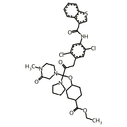 CCOC(=O)C1CCC(OC(C(=O)Cc2cc(Cl)c(NC(=O)c3csc4ccccc34)cc2Cl)(N2CCCC2)N2CCN(C)C(=O)C2)CC1